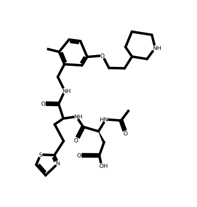 CC(=O)N[C@@H](CC(=O)O)C(=O)NC(CCc1nccs1)C(=O)NCc1cc(OCCC2CCCNC2)ccc1C